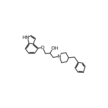 OC(COc1cccc2[nH]ccc12)CN1CCC(Cc2ccccc2)CC1